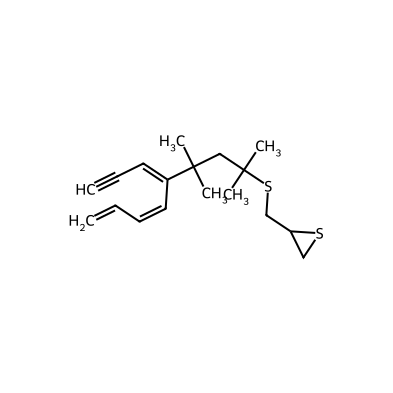 C#C/C=C(\C=C/C=C)C(C)(C)CC(C)(C)SCC1CS1